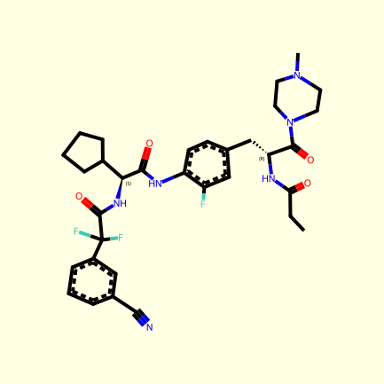 CCC(=O)N[C@H](Cc1ccc(NC(=O)[C@@H](NC(=O)C(F)(F)c2cccc(C#N)c2)C2CCCC2)c(F)c1)C(=O)N1CCN(C)CC1